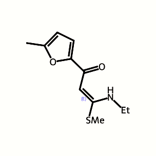 CCN/C(=C\C(=O)c1ccc(C)o1)SC